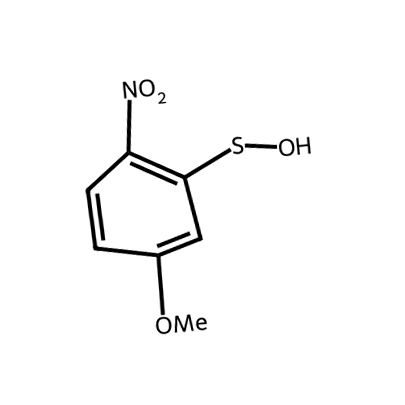 COc1ccc([N+](=O)[O-])c(SO)c1